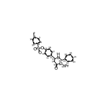 Cc1ccc(S(=O)(=O)Oc2ccc(C(CC(=O)OC(C)C)NCc3ccccc3)cc2)cc1